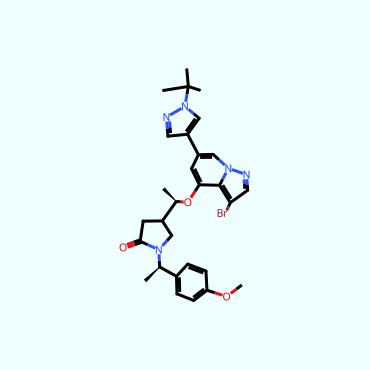 COc1ccc([C@@H](C)N2CC([C@@H](C)Oc3cc(-c4cnn(C(C)(C)C)c4)cn4ncc(Br)c34)CC2=O)cc1